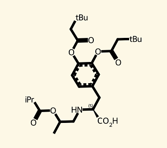 CC(CN[C@@H](Cc1ccc(OC(=O)CC(C)(C)C)c(OC(=O)CC(C)(C)C)c1)C(=O)O)OC(=O)C(C)C